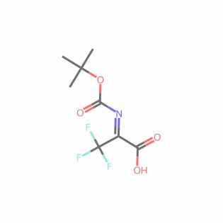 CC(C)(C)OC(=O)/N=C(/C(=O)O)C(F)(F)F